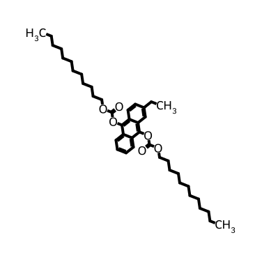 CCCCCCCCCCCCOC(=O)Oc1c2ccccc2c(OC(=O)OCCCCCCCCCCCC)c2cc(CC)ccc12